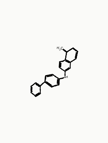 CC1CC=Cc2cc(Nc3ccc(-c4ccccc4)cc3)ccc21